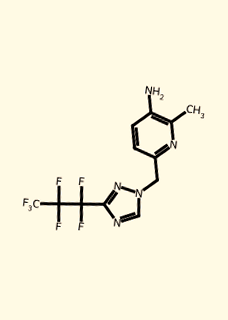 Cc1nc(Cn2cnc(C(F)(F)C(F)(F)C(F)(F)F)n2)ccc1N